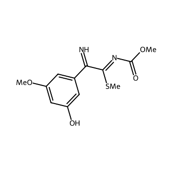 COC(=O)/N=C(\SC)C(=N)c1cc(O)cc(OC)c1